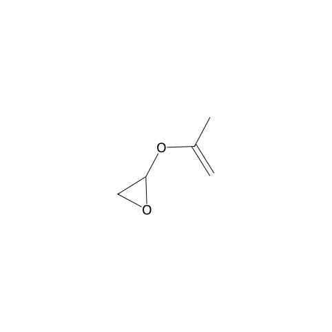 C=C(C)OC1CO1